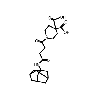 O=C(CCC(=O)N1CCC(C(=O)O)(C(=O)O)CC1)NC12CC3CC(CC(C3)C1)C2